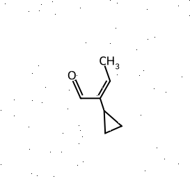 CC=C(C=O)C1CC1